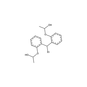 CCC(c1ccccc1OC(C)O)c1ccccc1OC(C)O